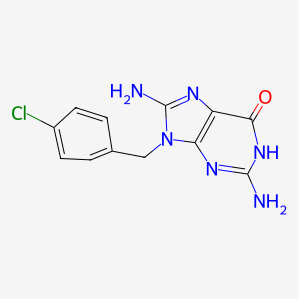 Nc1nc2c(nc(N)n2Cc2ccc(Cl)cc2)c(=O)[nH]1